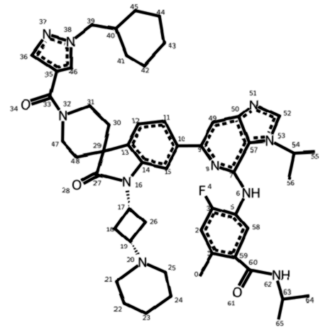 Cc1cc(F)c(Nc2nc(-c3ccc4c(c3)N([C@H]3C[C@@H](N5CCCCC5)C3)C(=O)C43CCN(C(=O)c4cnn(CC5CCCCC5)c4)CC3)cc3ncn(C(C)C)c23)cc1C(=O)NC(C)C